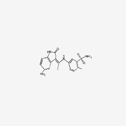 C/C(Nc1ccc(C)c(S(N)(=O)=O)c1)=C1/C(=O)Nc2ccc(N)cc21